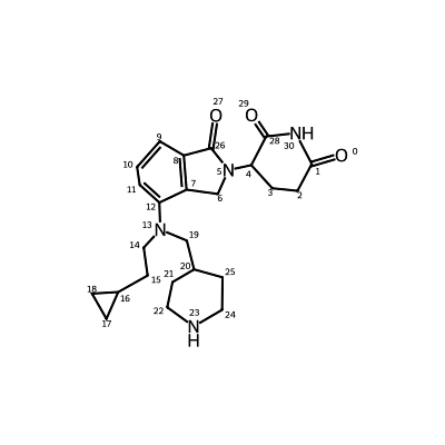 O=C1CCC(N2Cc3c(cccc3N(CCC3CC3)CC3CCNCC3)C2=O)C(=O)N1